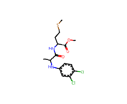 COC(=O)C(CCSC)NC(=O)C(C)Nc1ccc(Cl)c(Cl)c1